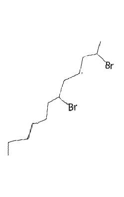 CCCCCCC(Br)C[CH]CC(C)Br